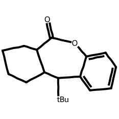 CC(C)(C)C1c2ccccc2OC(=O)C2CCCCC21